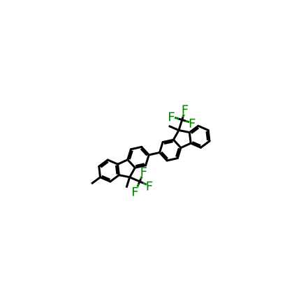 Cc1ccc2c(c1)C(C)(C(F)(F)F)c1cc(-c3ccc4c(c3)C(C)(C(F)(F)F)c3ccccc3-4)ccc1-2